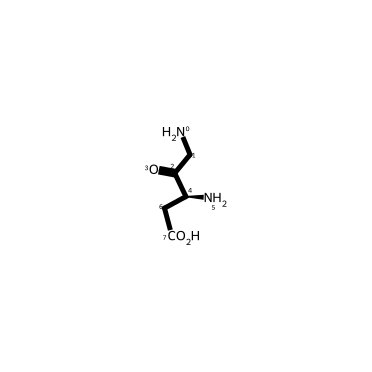 N[CH]C(=O)[C@@H](N)CC(=O)O